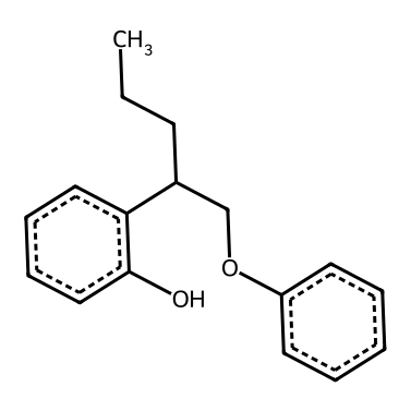 CCCC(COc1ccccc1)c1ccccc1O